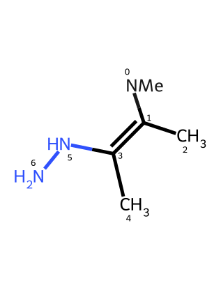 CN/C(C)=C(/C)NN